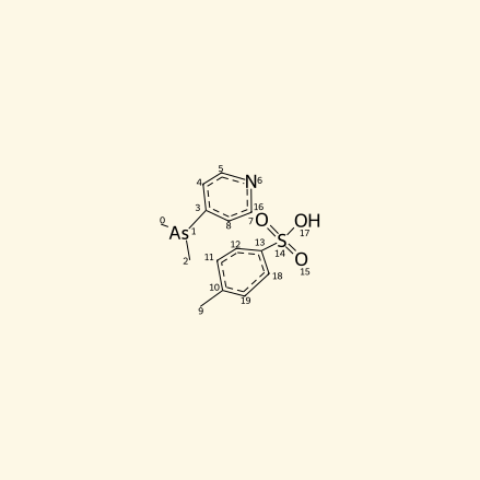 C[As](C)c1ccncc1.Cc1ccc(S(=O)(=O)O)cc1